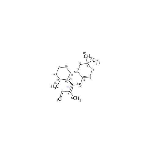 C/C(C=O)=C(\SC1=CCC(C)(C)CC1)[C@@H]1CCCCC1C